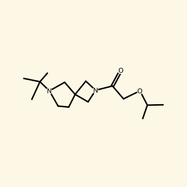 CC(C)OCC(=O)N1CC2(CCN(C(C)(C)C)C2)C1